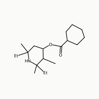 CCC1(C)CC(OC(=O)C2CCCCC2)C(C)C(C)(CC)N1